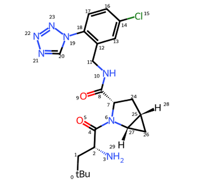 CC(C)(C)C[C@@H](N)C(=O)N1[C@H](C(=O)NCc2cc(Cl)ccc2-n2cnnn2)C[C@@H]2C[C@@H]21